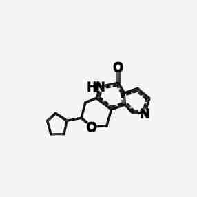 O=c1[nH]c2c(c3cnccc13)COC(C1CCCC1)C2